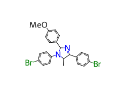 COc1ccc(C2N=C(c3ccc(Br)cc3)C(C)N2c2ccc(Br)cc2)cc1